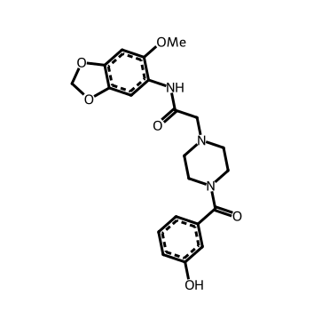 COc1cc2c(cc1NC(=O)CN1CCN(C(=O)c3cccc(O)c3)CC1)OCO2